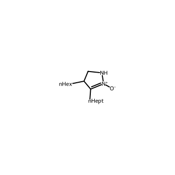 CCCCCCCC1=[N+]([O-])NCC1CCCCCC